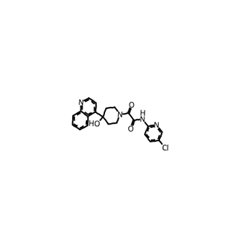 O=C(Nc1ccc(Cl)cn1)C(=O)N1CCC(O)(c2ccnc3ccccc23)CC1